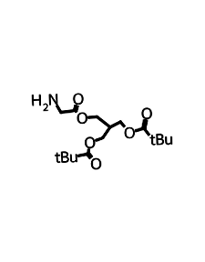 CC(C)(C)C(=O)OCC(COC(=O)CN)COC(=O)C(C)(C)C